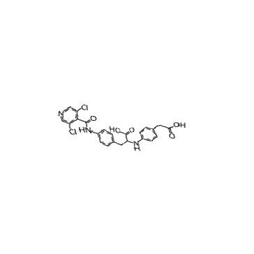 O=C(O)Cc1ccc(NC(Cc2ccc(NC(=O)c3c(Cl)cncc3Cl)cc2)C(=O)O)cc1